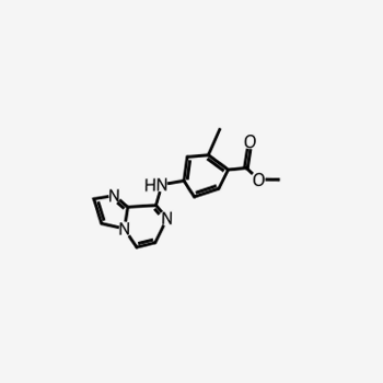 COC(=O)c1ccc(Nc2nccn3ccnc23)cc1C